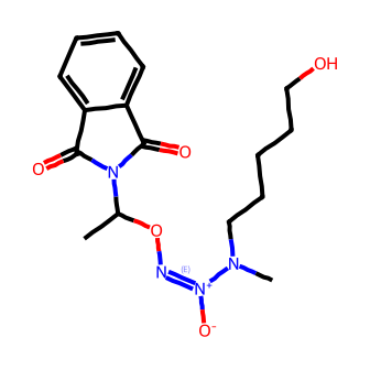 CC(O/N=[N+](/[O-])N(C)CCCCCO)N1C(=O)c2ccccc2C1=O